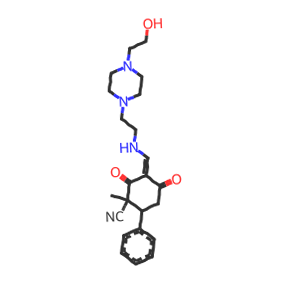 CC1(C#N)C(=O)/C(=C\NCCN2CCN(CCO)CC2)C(=O)CC1c1ccccc1